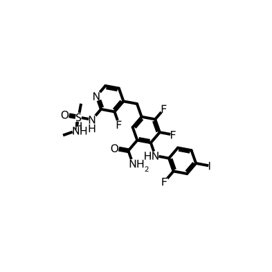 CN[SH](C)(=O)Nc1nccc(Cc2cc(C(N)=O)c(Nc3ccc(I)cc3F)c(F)c2F)c1F